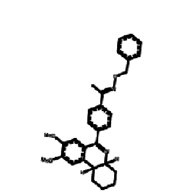 COc1cc2c(cc1OC)[C@H]1CCCC[C@H]1N=C2c1ccc(/C(C)=N/OCc2ccccc2)cc1